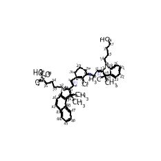 CC1(C)C(/C=C/C2=C(Cl)C(=C/C=C3/N(CCCCO)c4ccccc4C3(C)C)/CCC2)=[N+](CCCCS(=O)(=O)O)c2ccc3ccccc3c21